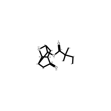 CCC(C)(C)C(=O)OC1C2CC3C(=O)CC1C3O2